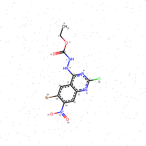 CCOC(=O)NNc1nc(Cl)nc2cc([N+](=O)[O-])c(Br)cc12